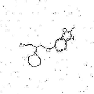 CC(=O)CC(COc1ccc2nc(C)oc2c1)N1CCCCC1